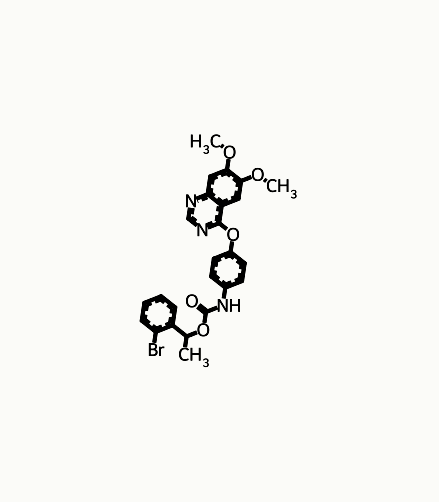 COc1cc2ncnc(Oc3ccc(NC(=O)OC(C)c4ccccc4Br)cc3)c2cc1OC